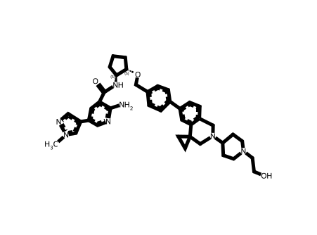 Cn1cc(-c2cnc(N)c(C(=O)N[C@H]3CCC[C@@H]3OCc3ccc(-c4ccc5c(c4)C4(CC4)CN(C4CCN(CCO)CC4)C5)cc3)c2)cn1